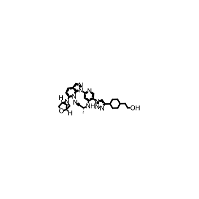 C[C@H](C#N)Nc1cc(-n2ncc3ccc(N4C[C@H]5C[C@@H]4CO5)nc32)ncc1-n1cc(C2CCC(CCO)CC2)nn1